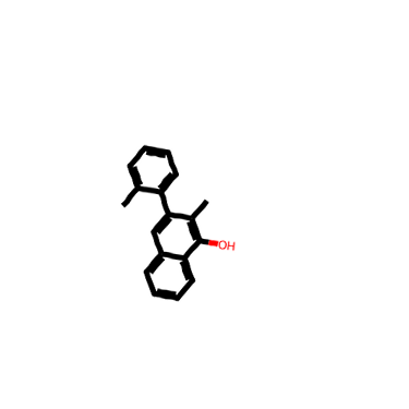 Cc1ccccc1-c1cc2ccccc2c(O)c1C